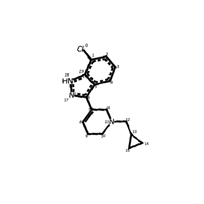 Clc1cccc2c(C3=CCCN(CC4CC4)C3)n[nH]c12